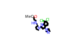 COC(=O)CCNC[C@@H]1CCCN1c1cc(-n2ccnc2)c2ccc(Cl)c(Cl)c2n1